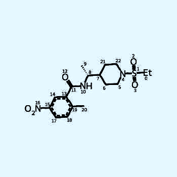 CCS(=O)(=O)N1CCC([C@@H](C)NC(=O)c2cc([N+](=O)[O-])ccc2C)CC1